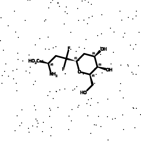 N[C@H](CC(F)(F)[C@@H]1C[C@@H](O)[C@@H](O)[C@@H](CO)O1)C(=O)O